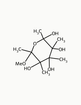 COC1(C)OC(C)(O)C(C)(O)C(C)(O)C1(C)O